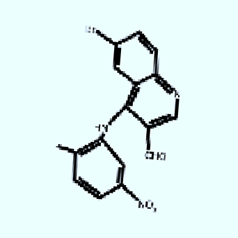 Cc1ccc([N+](=O)[O-])cc1Nc1c(C=O)cnc2ccc(Br)cc12